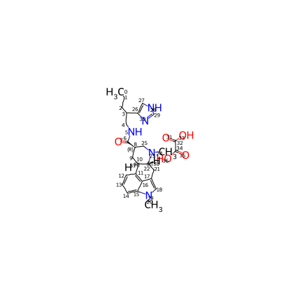 CCCC(CNC(=O)[C@@H]1C[C@@H]2c3cccc4c3c(cn4C)C[C@H]2N(C)C1)c1c[nH]cn1.O=C(O)C(=O)O